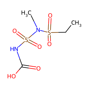 CCS(=O)(=O)N(C)S(=O)(=O)NC(=O)O